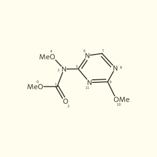 COC(=O)N(OC)c1ncnc(OC)n1